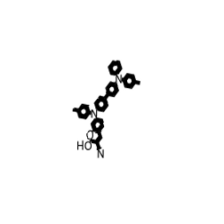 Cc1ccc(N(c2ccccc2)c2ccc(-c3ccc(N(c4ccc(C)cc4)c4ccc(/C=C(/C#N)C(=O)O)cc4)cc3)cc2)cc1